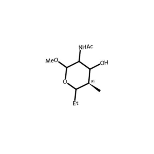 CCC1OC(OC)C(NC(C)=O)C(O)[C@H]1C